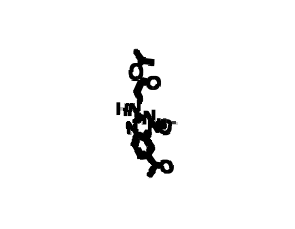 CC(=O)c1ccc2nc(NCCC(=O)OC(C)C)n[n+]([O-])c2c1